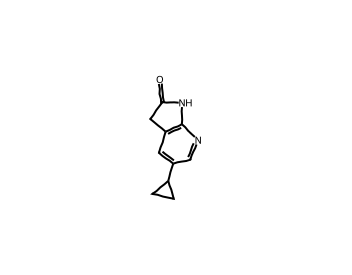 O=C1Cc2cc(C3CC3)cnc2N1